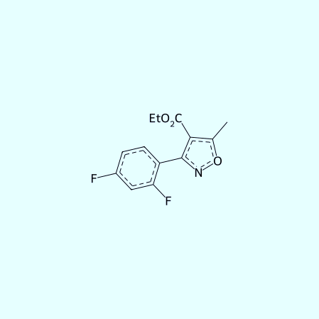 CCOC(=O)c1c(-c2ccc(F)cc2F)noc1C